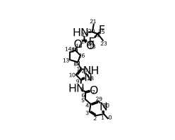 Cc1ccc(CC(=O)Nc2cc([C@H]3CC[C@@H](OC(=O)NC(C)C(C)(F)F)C3)[nH]n2)cn1